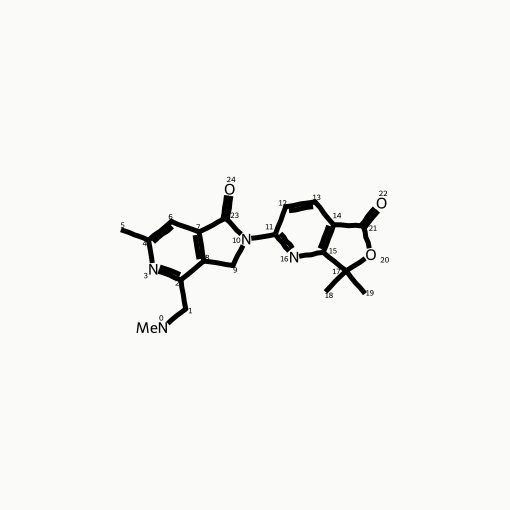 CNCc1nc(C)cc2c1CN(c1ccc3c(n1)C(C)(C)OC3=O)C2=O